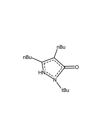 CCCCc1[nH]n(C(C)(C)C)c(=O)c1CCCC